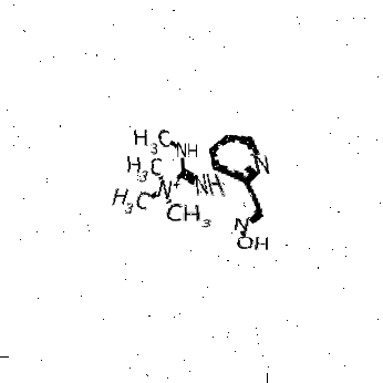 CNC(=N)[N+](C)(C)C.ON=Cc1ccccn1